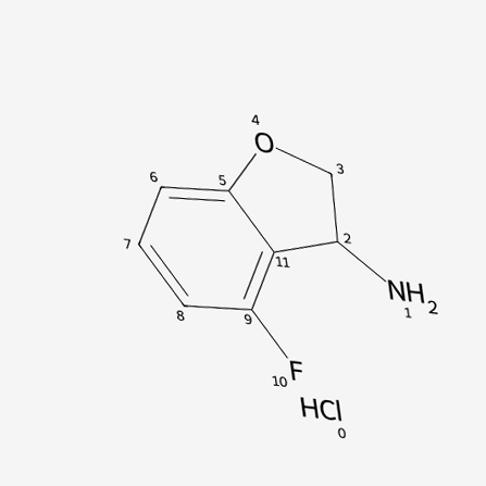 Cl.NC1COc2cccc(F)c21